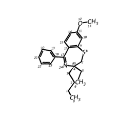 CCCC[C@]1(CC)CSc2cc(OC)ccc2C(c2ccccc2)=N1